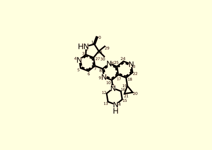 C=C1Nc2nccc(-c3nc(N4CCNCC4)c4c(C5CC5)cncc4n3)c2C1(C)C